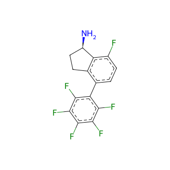 N[C@@H]1CCc2c(-c3c(F)c(F)c(F)c(F)c3F)ccc(F)c21